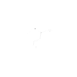 C/C=C/C(=O)OC.CO